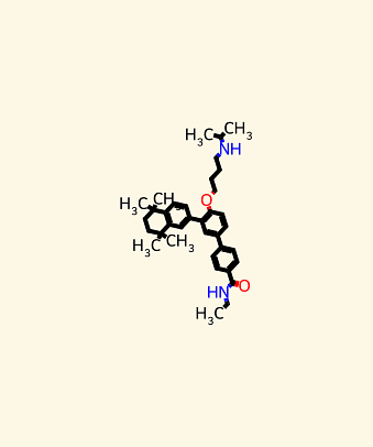 CCNC(=O)c1ccc(-c2ccc(OCCCCNC(C)C)c(-c3ccc4c(c3)C(C)(C)CCC4(C)C)c2)cc1